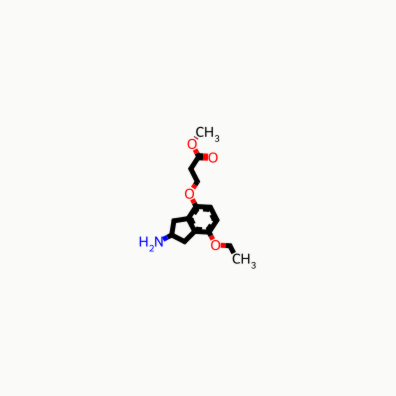 CCOc1ccc(OCCC(=O)OC)c2c1CC(N)C2